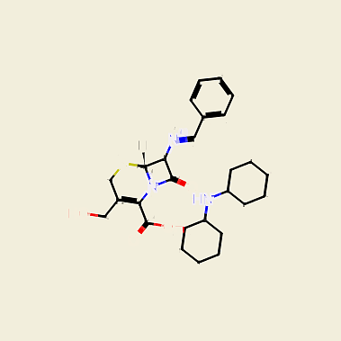 C1CCC(NC2CCCCC2)CC1.O=C(O)C1=C(CO)CS[C@@H]2C(/N=C/c3ccccc3)C(=O)N12